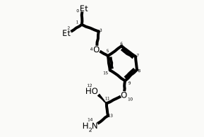 CCC(CC)COc1cccc(O[C@H](O)CN)c1